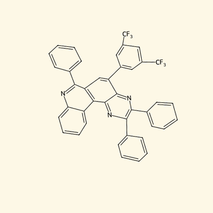 FC(F)(F)c1cc(-c2cc3c(-c4ccccc4)nc4ccccc4c3c3nc(-c4ccccc4)c(-c4ccccc4)nc23)cc(C(F)(F)F)c1